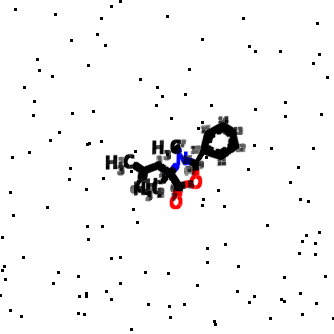 C=C(C)C[C@@]1(C)C(=O)O[C@H](c2ccccc2)N1C